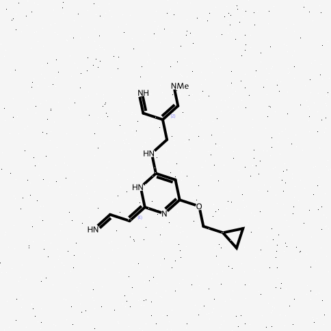 CN/C=C(\C=N)CNC1=CC(OCC2CC2)=N/C(=C/C=N)N1